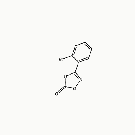 CCc1ccccc1-c1noc(=O)o1